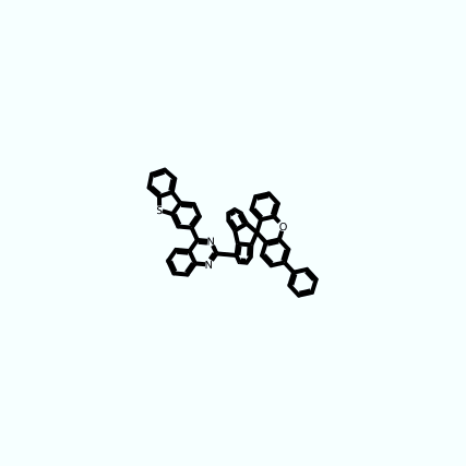 c1ccc(-c2ccc3c(c2)Oc2ccccc2C32c3ccccc3-c3c(-c4nc(-c5ccc6c(c5)sc5ccccc56)c5ccccc5n4)cccc32)cc1